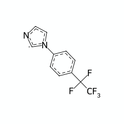 FC(F)(F)C(F)(F)c1ccc(-n2[c]ncc2)cc1